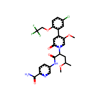 COc1cn(C(CC(C)OC)C(=O)Nc2ccc(C(N)=O)nc2)c(=O)cc1-c1cc(Cl)ccc1OCC(F)(F)F